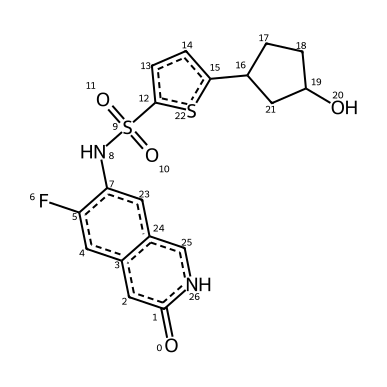 O=c1cc2cc(F)c(NS(=O)(=O)c3ccc(C4CCC(O)C4)s3)cc2c[nH]1